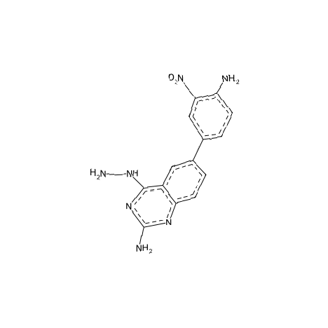 NNc1nc(N)nc2ccc(-c3ccc(N)c([N+](=O)[O-])c3)cc12